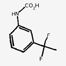 CC(F)(F)c1cccc(NC(=O)O)c1